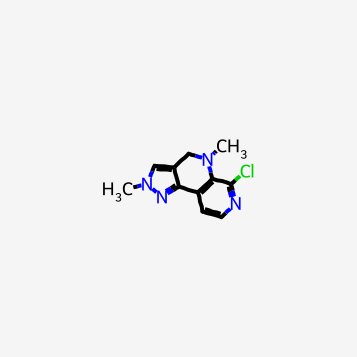 CN1Cc2cn(C)nc2-c2ccnc(Cl)c21